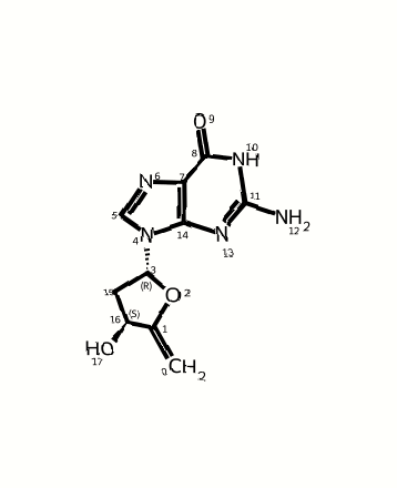 C=C1O[C@@H](n2cnc3c(=O)[nH]c(N)nc32)C[C@@H]1O